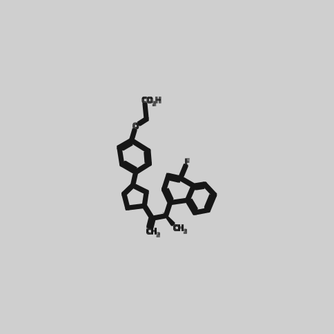 C=C(C1CCC(c2ccc(OCC(=O)O)cc2)C1)[C@H](C)c1ccc(F)c2ccccc12